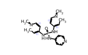 C=N/C=C\C(=C/C)NP(=O)(NC(/C=C\N=C)=C/C)Nc1ccncc1